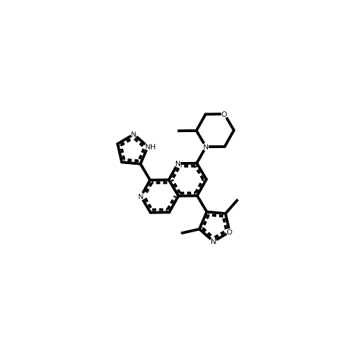 Cc1noc(C)c1-c1cc(N2CCOCC2C)nc2c(-c3ccn[nH]3)nccc12